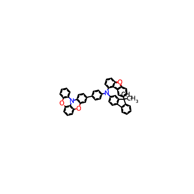 CC1(C)c2ccccc2-c2ccc(N(c3ccc(-c4ccc5c(c4)Oc4cccc6c4N5c4ccccc4O6)cc3)c3cccc4oc5ccccc5c34)cc21